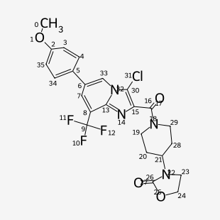 COc1ccc(-c2cc(C(F)(F)F)c3nc(C(=O)N4CCC(N5CCOC5=O)CC4)c(Cl)n3c2)cc1